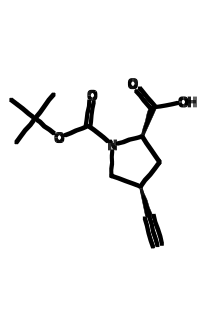 C#C[C@@H]1C[C@H](C(=O)O)N(C(=O)OC(C)(C)C)C1